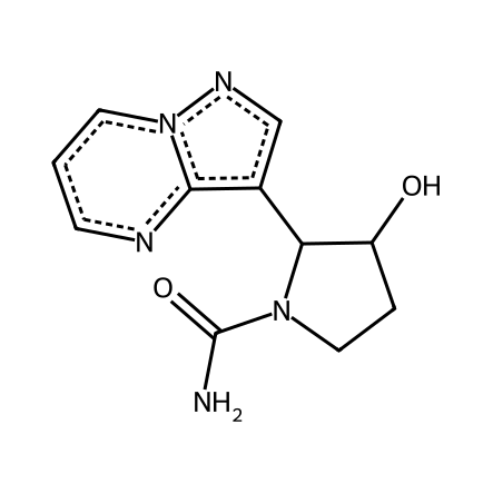 NC(=O)N1CCC(O)C1c1cnn2cccnc12